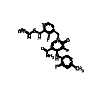 CCCNSNc1nccc(Cn2cc(C(N)=O)c(Nc3ccc(C)cc3F)c(F)c2=O)c1F